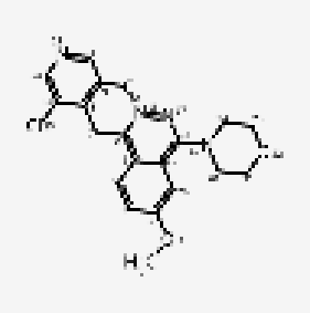 COc1ccc2c(Cc3c(Cl)cncc3Cl)nnc(N3CCOCC3)c2c1